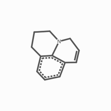 C1=Cc2cccc3c2N(C1)CCC3